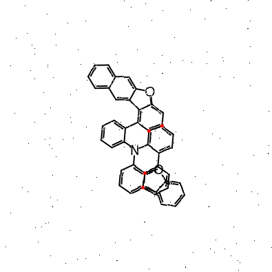 c1ccc(-c2ccccc2N(c2ccccc2-c2cccc3oc4cc5ccccc5cc4c23)c2cccc3c2oc2ccccc23)cc1